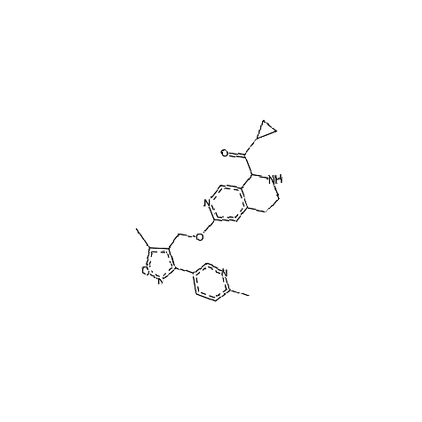 Cc1ccc(-c2noc(C)c2COc2cc3c(cn2)C(C(=O)C2CC2)NCC3)cn1